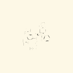 O=C(NC1(c2ccccc2)CCC2(CC1)OCCO2)[C@@H](CCCO)c1cc(C(F)(F)F)cc(C(F)(F)F)c1